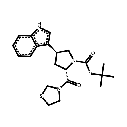 CC(C)(C)OC(=O)N1C[C@H](c2c[nH]c3ccccc23)C[C@H]1C(=O)N1CCSC1